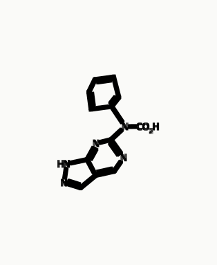 O=C(O)N(c1ccccc1)c1ncc2cn[nH]c2n1